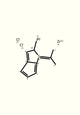 CC(C)=S1C2=CC=CC2=CC1C(C)C.[Cl-].[Cl-].[Zr+2]